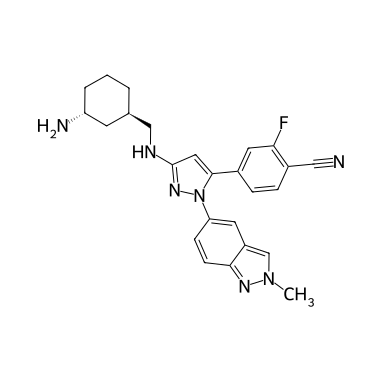 Cn1cc2cc(-n3nc(NC[C@@H]4CCC[C@@H](N)C4)cc3-c3ccc(C#N)c(F)c3)ccc2n1